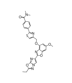 CCc1nn2cc(-c3nc4c(OCc5csc(-c6ccc(C(=O)N(C)C)cc6)n5)cc(OC)cc4o3)nc2o1